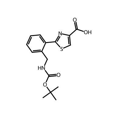 CC(C)(C)OC(=O)NCc1ccccc1-c1nc(C(=O)O)cs1